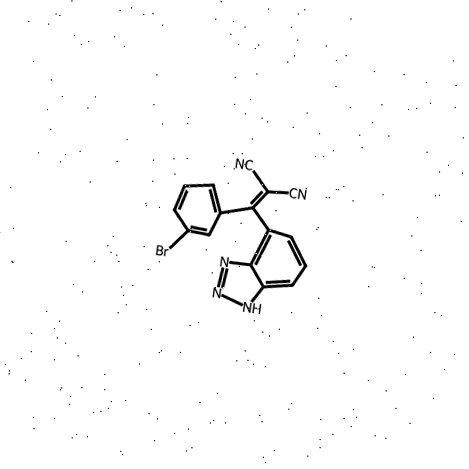 N#CC(C#N)=C(c1cccc(Br)c1)c1cccc2[nH]nnc12